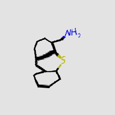 NCC1CCCC2C3CCCCC3SC12